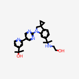 CC(C)(O)c1ccnc(-c2cnc(N3CC4(CC4)c4ccc(C(C)(C)NCCO)cc43)nc2)c1